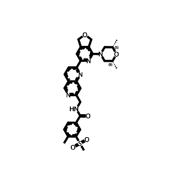 Cc1ccc(C(=O)NCc2cc3nc(-c4cc5c(c(N6C[C@@H](C)O[C@@H](C)C6)n4)COC5)ccc3cn2)cc1S(C)(=O)=O